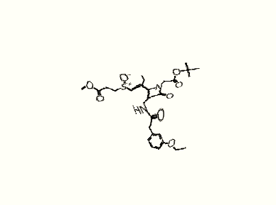 CCOc1cccc(CC(=O)NC2C(=O)N(CC(=O)OC(C)(C)C)C2C(C)=C[S+]([O-])CCC(=O)OC)c1